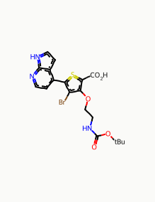 CC(C)(C)OC(=O)NCCOc1c(C(=O)O)sc(-c2ccnc3[nH]ccc23)c1Br